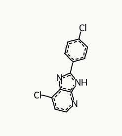 Clc1ccc(-c2nc3c(Cl)ccnc3[nH]2)cc1